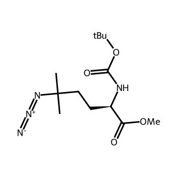 COC(=O)[C@@H](CCC(C)(C)N=[N+]=[N-])NC(=O)OC(C)(C)C